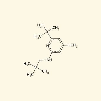 Cc1cc(NCC(C)(C)C)nc(C(C)(C)C)c1